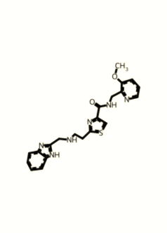 COc1cccnc1CNC(=O)c1csc(CCNCc2nc3ccccc3[nH]2)n1